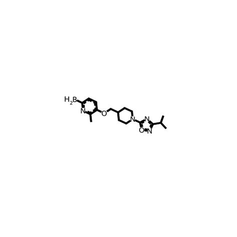 Bc1ccc(OCC2CCN(c3nc(C(C)C)no3)CC2)c(C)n1